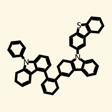 C1=CC(c2cccc3c2c2c(n3-c3ccccc3)CCC=C2)=C(C2=Cc3c(n(-c4ccc5sc6c(c5c4)CCC=C6)c4ccccc34)CC2)CC1